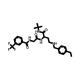 CCc1ccc(CNCCC(NC(=O)CNC(=O)c2cccc(C(F)(F)F)c2)C(=O)NC(C)(C)C)cc1